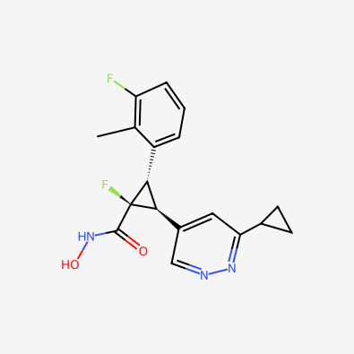 Cc1c(F)cccc1[C@@H]1[C@@H](c2cnnc(C3CC3)c2)[C@]1(F)C(=O)NO